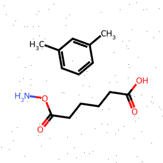 Cc1cccc(C)c1.NOC(=O)CCCCC(=O)O